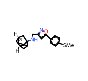 CSc1ccc(-c2cc(CNC34C[C@@H]5CC3C[C@@H](C5)C4)no2)cc1